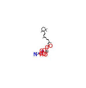 CC(C=CC1=C(C)CCCC1(C)C)=CC=CC(C)=CC(=O)OC[C@H](CO)OP(=O)([O-])OCC[N+](C)(C)C